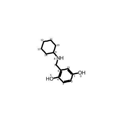 Oc1ccc(O)c(CNC2CCCCC2)c1